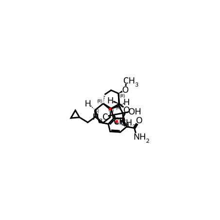 CO[C@]12CC[C@@]3(C[C@@H]1C(C)(O)C(C)(C)C)[C@H]1Cc4ccc(C(N)=O)c5c4[C@@]3(CCC1CC1CC1)[C@H]2O5